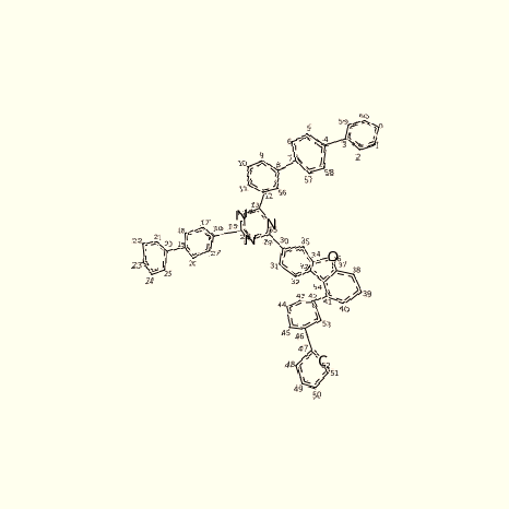 c1ccc(-c2ccc(-c3cccc(-c4nc(-c5ccc(-c6ccccc6)cc5)nc(-c5ccc6c(c5)oc5cccc(-c7cccc(-c8ccccc8)c7)c56)n4)c3)cc2)cc1